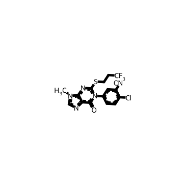 Cn1cnc2c(=O)n(-c3ccc(Cl)c(C#N)c3)c(SCCC(F)(F)F)nc21